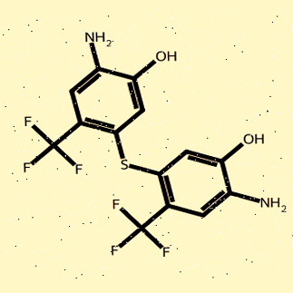 Nc1cc(C(F)(F)F)c(Sc2cc(O)c(N)cc2C(F)(F)F)cc1O